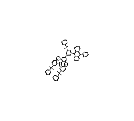 CC(C)(c1ccccc1)c1cc(-c2cc3c4c(c2)Oc2ccc(C(C)(C)c5ccccc5)cc2B4c2cc(C(C)(C)c4ccccc4)ccc2O3)cc(-c2c3ccccc3c(-c3ccccc3)c3ccccc23)c1